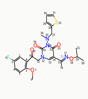 COc1ccc(F)cc1C(=O)Cn1cc(/C(C)=N/OC(C)C)c(=O)n(N(C)Cc2cccs2)c1=O